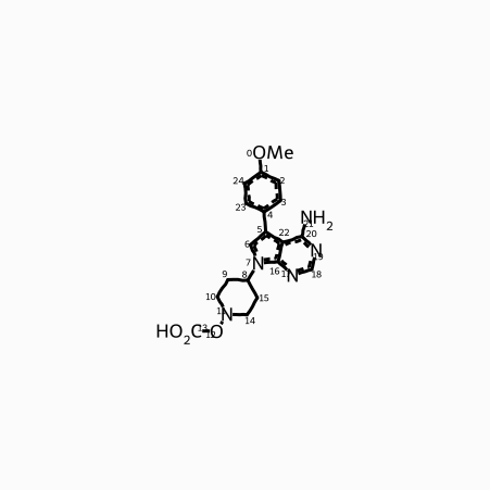 COc1ccc(-c2cn(C3CCN(OC(=O)O)CC3)c3ncnc(N)c23)cc1